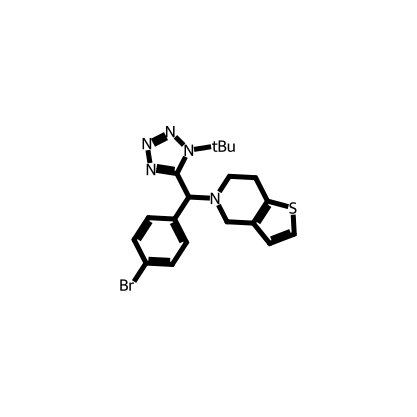 CC(C)(C)n1nnnc1C(c1ccc(Br)cc1)N1CCc2sccc2C1